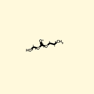 CCCOC(=O)OCO